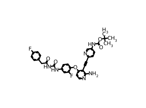 CC(C)(C)OC(=O)Nc1ccc(C#Cc2c(Oc3ccc(NC(=O)NC(=O)Cc4ccc(F)cc4)cc3F)ccnc2N)nc1